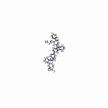 CC1C=CC=C(c2ccccc2Nc2ccc(-c3ccc4c(c3)c3ccccc3n4C3=CC=C(c4ccccc4)C(C)C3)cc2)C1